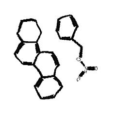 O=[SH](=O)OCc1ccccc1.c1ccc2c(c1)ccc1c3c(ccc12)CCCC3